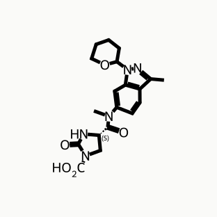 Cc1nn(C2CCCCO2)c2cc(N(C)C(=O)[C@@H]3CN(C(=O)O)C(=O)N3)ccc12